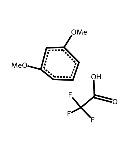 COc1cccc(OC)c1.O=C(O)C(F)(F)F